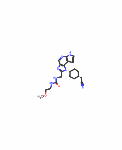 COCCNC(=O)NCc1nc2cnc3[nH]ccc3c2n1[C@H]1CC[C@H](CC#N)CC1